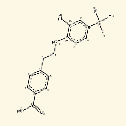 O=C(O)c1ccc(CCNc2ncc(C(F)(F)F)cc2Cl)cc1